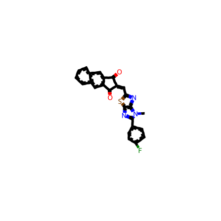 Cn1c(-c2ccc(F)cc2)nc2sc(C=C3C(=O)c4cc5ccccc5cc4C3=O)nc21